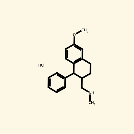 CNCC1CCc2cc(OC)ccc2C1c1ccccc1.Cl